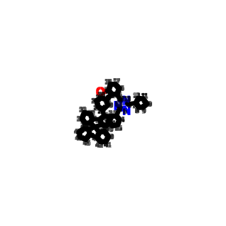 c1ccc(-c2nc(-c3ccccc3)nc(-c3cccc4oc5ccc(-c6cccc7c6-c6ccccc6C76c7ccccc7-c7ccccc76)cc5c34)n2)cc1